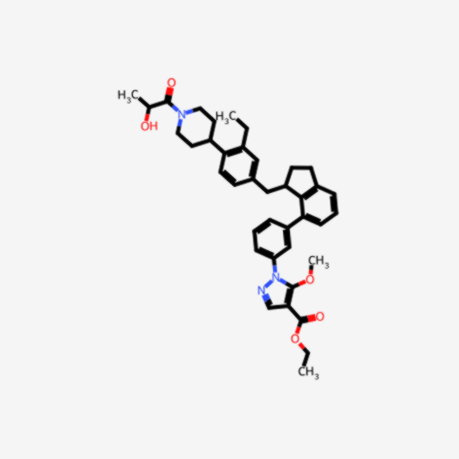 CCOC(=O)c1cnn(-c2cccc(-c3cccc4c3C(Cc3ccc(C5CCN(C(=O)C(C)O)CC5)c(CC)c3)CC4)c2)c1OC